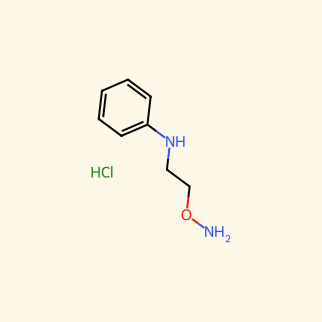 Cl.NOCCNc1ccccc1